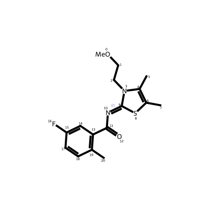 COCCn1c(C)c(C)s/c1=N\C(=O)c1cc(F)ccc1C